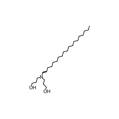 CCCCCCCCCCCCCCCCCC=CN(CCCO)CCCO